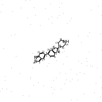 Cn1cc2cc(-c3ccc4nc(N5CCNCC5)sc4c3)ccc2n1